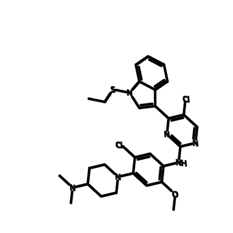 CCSn1cc(-c2nc(Nc3cc(Cl)c(N4CCC(N(C)C)CC4)cc3OC)ncc2Cl)c2ccccc21